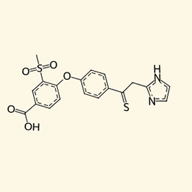 CS(=O)(=O)c1cc(C(=O)O)ccc1Oc1ccc(C(=S)Cc2ncc[nH]2)cc1